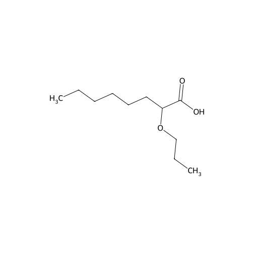 CCCCCCC(OCCC)C(=O)O